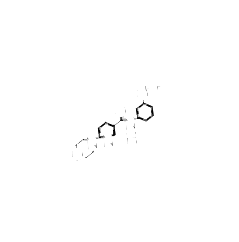 O=C(Nc1cccc(OC(F)(F)F)c1)c1ccc(N2CCOCC2)nc1